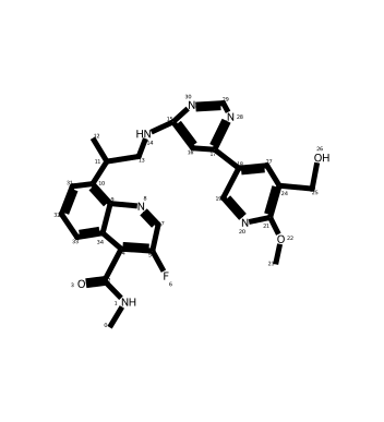 CNC(=O)c1c(F)cnc2c(C(C)CNc3cc(-c4cnc(OC)c(CO)c4)ncn3)cccc12